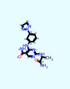 CC(Nc1ncc(C(N)=O)c(Nc2cccc(-n3nccn3)c2)n1)C(N)=O